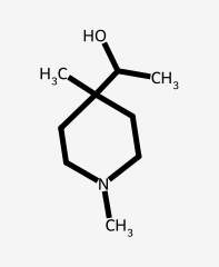 CC(O)C1(C)CCN(C)CC1